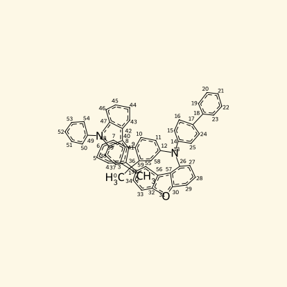 CC1(C)c2ccccc2-c2ccc(N(c3ccc(-c4ccccc4)cc3)c3cccc4oc5ccc(-c6ccc7c(c6)c6ccccc6n7-c6ccccc6)cc5c34)cc21